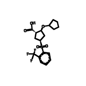 O=C(O)[C@H]1C[C@H](S(=O)(=O)c2ccccc2C(F)(F)F)C[C@@H]1OC1CCCC1